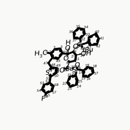 Cc1ccc([C@@]2(O)O[C@H](CO)[C@@H](O[Si](c3ccccc3)(c3ccccc3)C(C)(C)C)[C@H](O)[C@H]2O[Si](c2ccccc2)(c2ccccc2)C(C)(C)C)cc1Cc1ccc(-c2ccc(F)cc2)s1